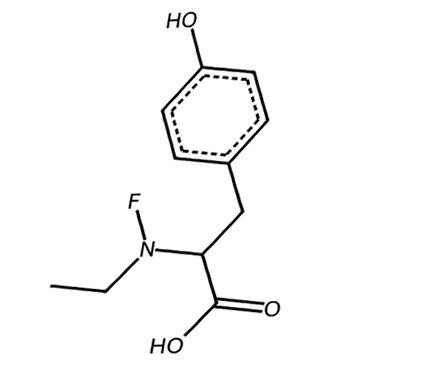 CCN(F)C(Cc1ccc(O)cc1)C(=O)O